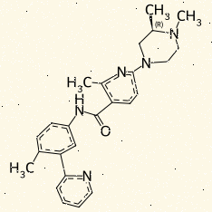 Cc1ccc(NC(=O)c2ccc(N3CCN(C)[C@H](C)C3)nc2C)cc1-c1ccccn1